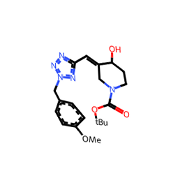 COc1ccc(Cn2nnc(C=C3CN(C(=O)OC(C)(C)C)CCC3O)n2)cc1